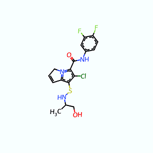 CC(CO)NSc1c(Cl)c(C(=O)Nc2ccc(F)c(F)c2)n2c1C=CC2